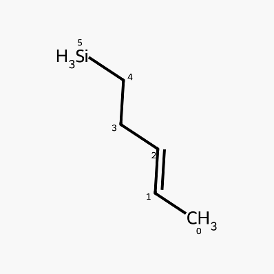 CC=CCC[SiH3]